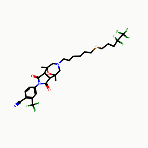 CC12CN(CCCCCCSCCCC(F)(F)C(F)(F)F)CC(C)(O1)C1C(=O)N(c3ccc(C#N)c(C(F)(F)F)c3)C(=O)C12